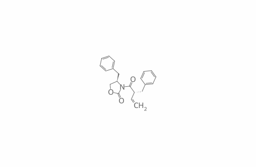 C=C[C@@H](Cc1ccccc1)C(=O)N1C(=O)OC[C@H]1Cc1ccccc1